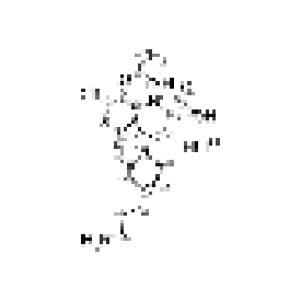 CC(=O)NN1c2cc(Cl)cc(Cl)c2[C@H](c2ccc(CCCN)cc2)C[C@H]1C(=O)O.Cl